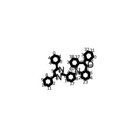 c1ccc(-c2cc(-c3ccccc3)nc(-c3cccc(N4c5ccccc5-c5oc6ccccc6c5-c5ccccc54)c3)n2)cc1